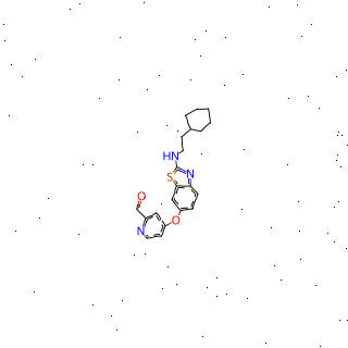 O=Cc1cc(Oc2ccc3nc(NCCC4CCCCC4)sc3c2)ccn1